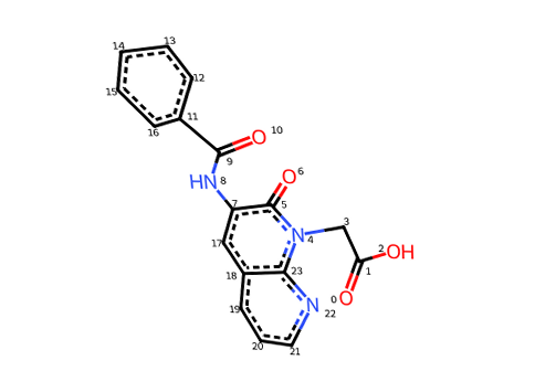 O=C(O)Cn1c(=O)c(NC(=O)c2ccccc2)cc2cccnc21